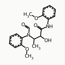 COc1ccccc1NC(=O)C(O)C(C)N(C=O)c1ccccc1OC